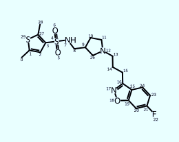 Cc1cc(S(=O)(=O)NCC2CCN(CCCc3noc4cc(F)ccc34)C2)c(C)s1